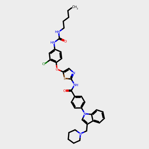 CCCCCNC(=O)Nc1ccc(Oc2cnc(NC(=O)c3ccc(-n4cc(CN5CCCCC5)c5ccccc54)cc3)s2)c(Cl)c1